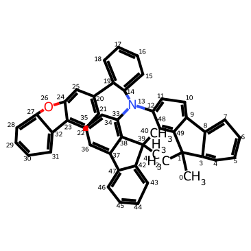 CC1(C)c2ccccc2-c2ccc(N(c3ccccc3-c3ccc4c(c3)oc3ccccc34)c3cccc4c3C(C)(C)c3ccccc3-4)cc21